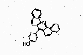 Oc1ccc(-c2c3ccc4ccccc4c3nc3c2ccc2ccccc23)cc1